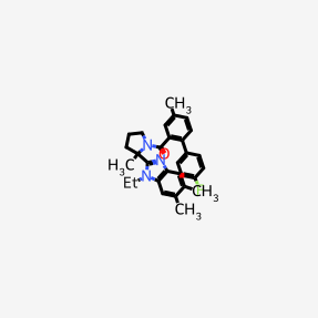 CCn1c(C2(C)CCCN2C(=O)c2cc(C)ccc2-c2ccc(F)cc2)nc2cc(C)c(C)cc21